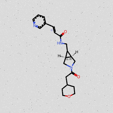 O=C(/C=C/c1cccnc1)NCC1[C@H]2CN(C(=O)CC3CCOCC3)C[C@@H]12